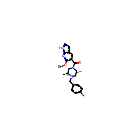 CCOc1nc2[nH]ccc2cc1C(=O)N1C[C@H](C)N(Cc2ccc(F)cc2)C[C@H]1C